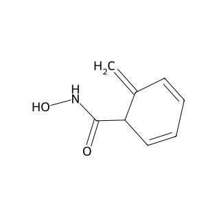 C=C1C=CC=CC1C(=O)NO